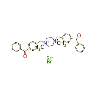 C[N+]1(Cc2ccc(C(=O)c3ccccc3)cc2)CC[N+](C)(Cc2ccc(C(=O)c3ccccc3)cc2)CC1.[Br-].[Br-]